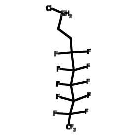 FC(F)(F)C(F)(F)C(F)(F)C(F)(F)C(F)(F)C(F)(F)CC[SiH2]Cl